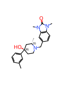 Cc1cccc([C@@]2(O)CCN(Cc3ccc4c(c3)n(C)c(=O)n4C)[C@@H](C)C2)c1